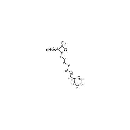 CCCCCCC1C(=O)OC1CCCCCOCc1ccccc1